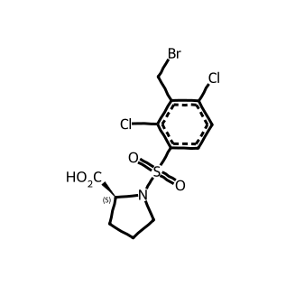 O=C(O)[C@@H]1CCCN1S(=O)(=O)c1ccc(Cl)c(CBr)c1Cl